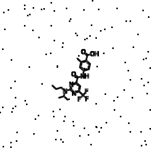 CCCN(c1nc(C(=O)Nc2ccc(C(=O)O)c(C)c2)cc(C(F)(F)F)n1)C(C)C